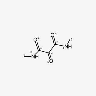 CNC(=O)C(=O)C(=O)NC